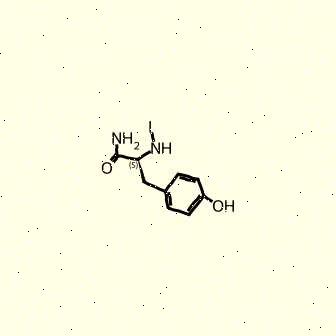 NC(=O)[C@H](Cc1ccc(O)cc1)NI